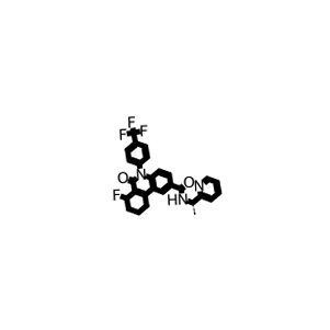 C[C@H](NC(=O)c1ccc2c(c1)c1c(c(=O)n2-c2ccc(C(F)(F)F)cc2)C(F)CCC1)c1ccccn1